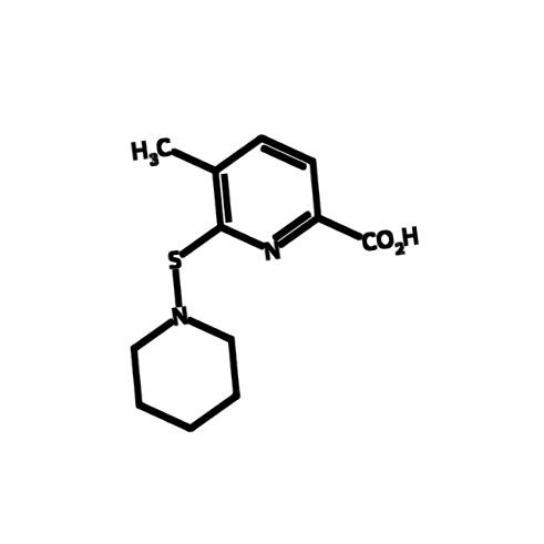 Cc1ccc(C(=O)O)nc1SN1CCCCC1